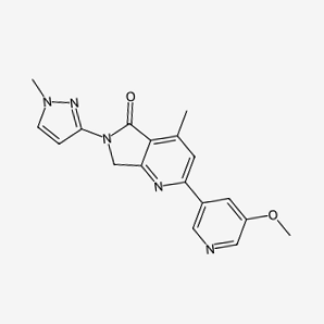 COc1cncc(-c2cc(C)c3c(n2)CN(c2ccn(C)n2)C3=O)c1